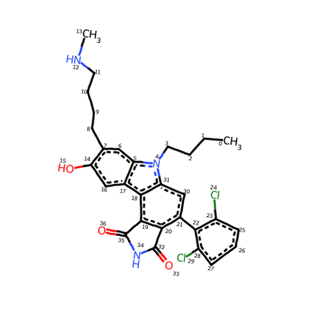 CCCCn1c2cc(CCCCNC)c(O)cc2c2c3c(c(-c4c(Cl)cccc4Cl)cc21)C(=O)NC3=O